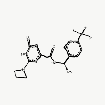 C[C@@H](NC(=O)c1cc(=O)[nH]c(N2CCC2)n1)c1ccc(C(F)(F)F)cc1